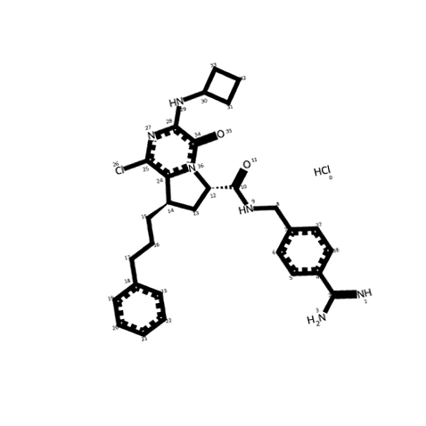 Cl.N=C(N)c1ccc(CNC(=O)[C@@H]2C[C@@H](CCCc3ccccc3)c3c(Cl)nc(NC4CCC4)c(=O)n32)cc1